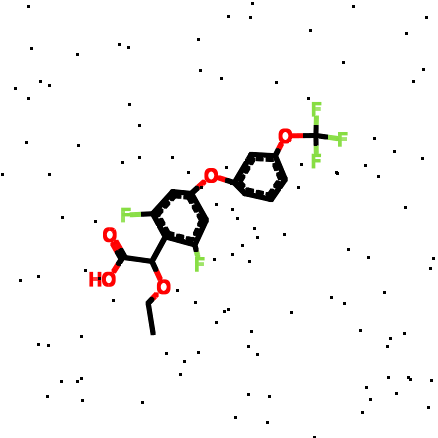 CCOC(C(=O)O)c1c(F)cc(Oc2cccc(OC(F)(F)F)c2)cc1F